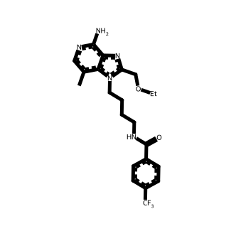 CCOCc1nc2c(N)ncc(C)c2n1CCCCNC(=O)c1ccc(C(F)(F)F)cc1